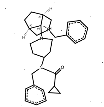 O=C(C1CC1)N(Cc1ccccc1)C1CCN([C@H]2[C@@H]3CC[C@H]2CN(Cc2ccccc2)C3)CC1